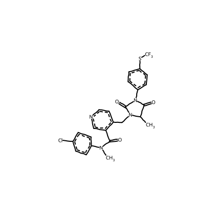 CC1C(=O)N(c2ccc(SC(F)(F)F)cc2)C(=O)N1Cc1ccncc1C(=O)N(C)c1ccc(Cl)cc1